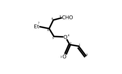 C=CC(=O)OCC(CC)CC=O